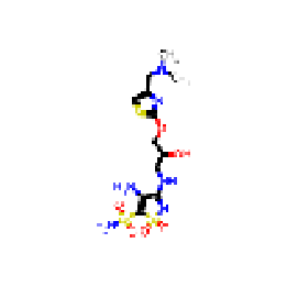 CN(C)Cc1csc(OCC(O)CNC2=NS(=O)(=O)C(S(N)(=O)=O)=C2N)n1